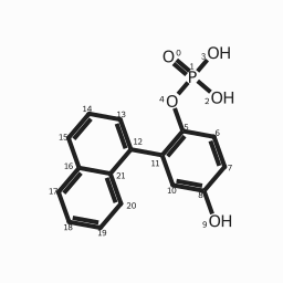 O=P(O)(O)Oc1ccc(O)cc1-c1cccc2ccccc12